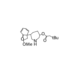 COCCC1(C2CCC(OC(=O)CC(C)(C)C)CNC2)C=CC=CC1=O